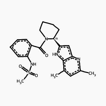 Cc1cc(C)c2[nH]c([C@@H]3CCCCN3C(=O)c3ccccc3NS(C)(=O)=O)cc2n1